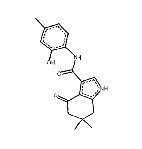 Cc1ccc(NC(=O)c2c[nH]c3c2C(=O)CC(C)(C)C3)c(O)c1